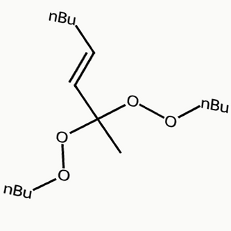 CCCCC=CC(C)(OOCCCC)OOCCCC